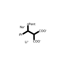 CCCCCC(C(C)C)C(C(=O)[O-])C(=O)[O-].[Li+].[Na+]